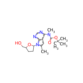 Cc1cc2c(N(C)C(=O)OC(C)(C)C)ncnc2n1C1CCC(CO)O1